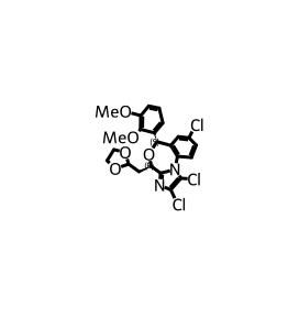 COc1cccc([C@H]2O[C@H](CC3OCCO3)c3nc(Cl)c(Cl)n3-c3ccc(Cl)cc32)c1OC